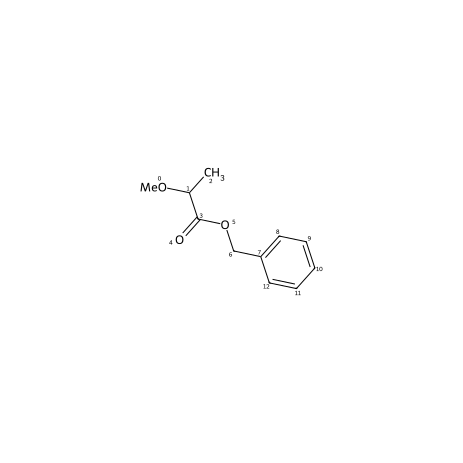 COC(C)C(=O)OCc1ccccc1